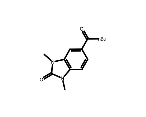 CCCCC(=O)c1ccc2c(c1)n(C)c(=O)n2C